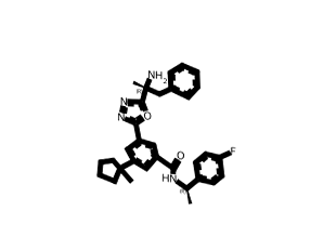 C[C@@H](NC(=O)c1cc(-c2nnc([C@](C)(N)Cc3ccccc3)o2)cc(C2(C)CCCC2)c1)c1ccc(F)cc1